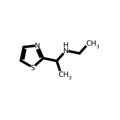 CCNC(C)c1nccs1